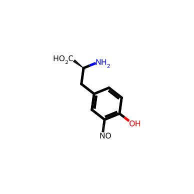 N[C@@H](Cc1ccc(O)c(N=O)c1)C(=O)O